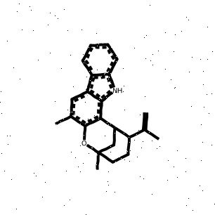 C=C(C)C1CCC2(C)CC1c1c(c(C)cc3c1[nH]c1ccccc13)O2